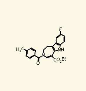 CCOC(=O)C1=CN(C(=O)c2ccc(C)cc2)CCc2c1[nH]c1ccc(F)cc21